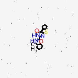 C[C@H](NC(=O)c1nc2sc3c(c2c(=O)[nH]1)CCC3)C1CCCCC1